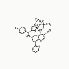 CC(C)(C)CNc1c(C#N)cnc2c(-c3ccccn3)cc(NC(c3ccc(F)cc3)c3cn(C4CC4)nn3)cc12